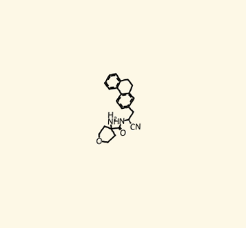 N#C[C@H](Cc1ccc2c(c1)CCc1ccccc1-2)NC(=O)C1(N)CCOCC1